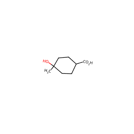 CC1(O)CCC(C(=O)O)CC1